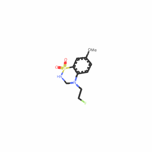 COc1ccc2c(c1)S(=O)(=O)NCN2CCF